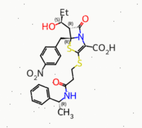 CC[C@H](O)[C@@H]1C(=O)N2C(C(=O)O)=C(SCCC(=O)N[C@H](C)c3ccccc3)S[C@]12Cc1ccc([N+](=O)[O-])cc1